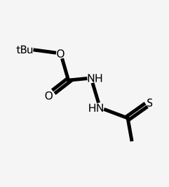 CC(=S)NNC(=O)OC(C)(C)C